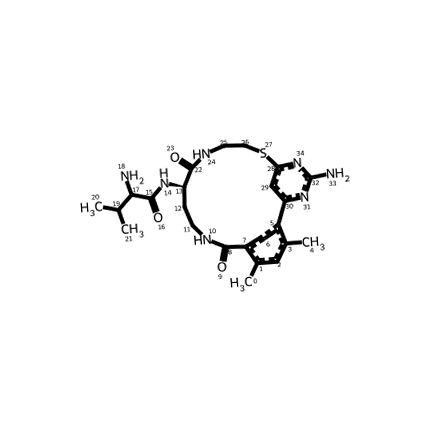 Cc1cc(C)c2cc1C(=O)NCC[C@@H](NC(=O)C(N)C(C)C)C(=O)NCCSc1cc-2nc(N)n1